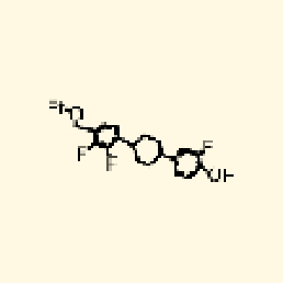 CCOCc1ccc(C2CCC(c3ccc(O)c(F)c3)CC2)c(F)c1F